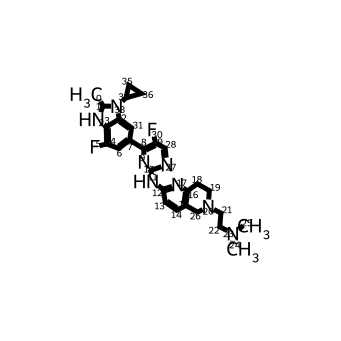 CC1Nc2c(F)cc(-c3nc(Nc4ccc5c(n4)CCN(CCN(C)C)C5)ncc3F)cc2N1C1CC1